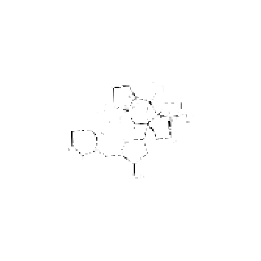 CCCCC1CC(C23C[C@@H]4[C@H](C)CC[C@H]4C4(C=O)CC2C=C(C(C)C)C34C(=O)O)OC1CN1CCCCC1